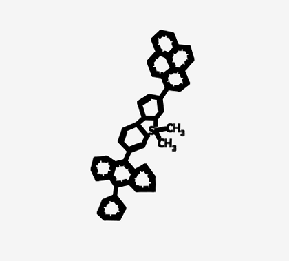 C[Si]1(C)C2C=C(c3c4ccccc4c(-c4ccccc4)c4ccccc34)C=CC2C2C=CC(c3ccc4ccc5cccc6ccc3c4c56)=CC21